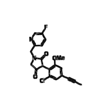 CC#Cc1cc(Cl)c(C2C(=O)CN(Cc3ccc(F)cn3)C2=O)c(OC)c1